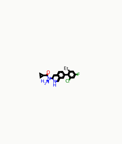 CCc1cc(F)cc(Cl)c1-c1ccc2c(c1)=CNC(N(N)C(=O)C1CC1)C=2